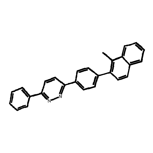 Cc1c(-c2ccc(-c3ccc(-c4ccccc4)nn3)cc2)ccc2ccccc12